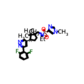 CCN(C[C@]1(C)CC[C@@H](c2cnnc(-c3c(F)cccc3F)c2)C1(C)C)S(=O)(=O)c1cn(C)cn1